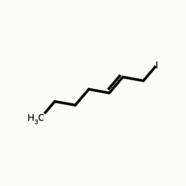 CCCCC=CCI